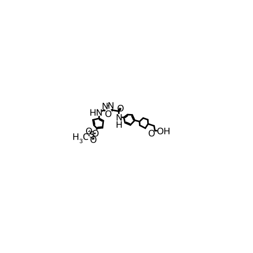 CS(=O)(=O)Oc1ccc(Nc2nnc(C(=O)Nc3ccc(C4CCC(CC(=O)O)CC4)cc3)o2)cc1